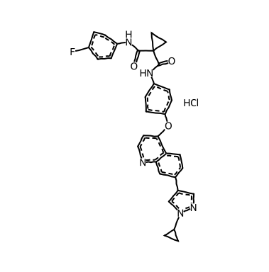 Cl.O=C(Nc1ccc(F)cc1)C1(C(=O)Nc2ccc(Oc3ccnc4cc(-c5cnn(C6CC6)c5)ccc34)cc2)CC1